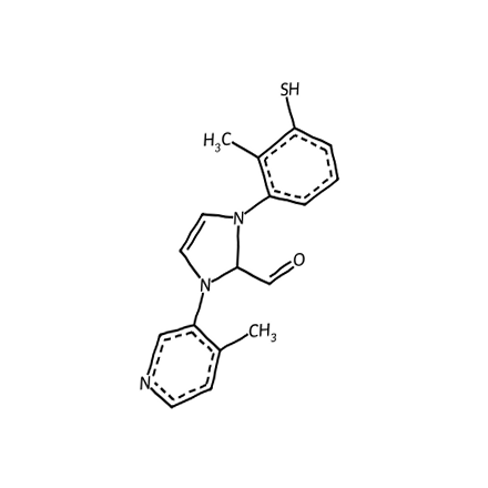 Cc1ccncc1N1C=CN(c2cccc(S)c2C)C1C=O